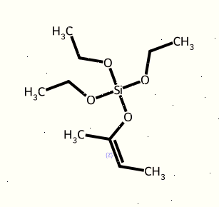 C/C=C(/C)O[Si](OCC)(OCC)OCC